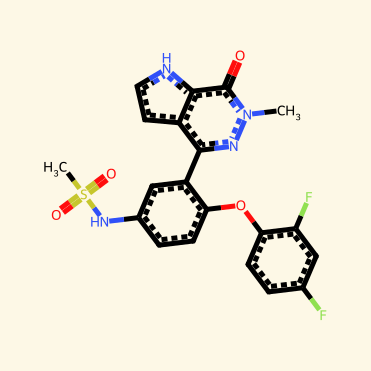 Cn1nc(-c2cc(NS(C)(=O)=O)ccc2Oc2ccc(F)cc2F)c2cc[nH]c2c1=O